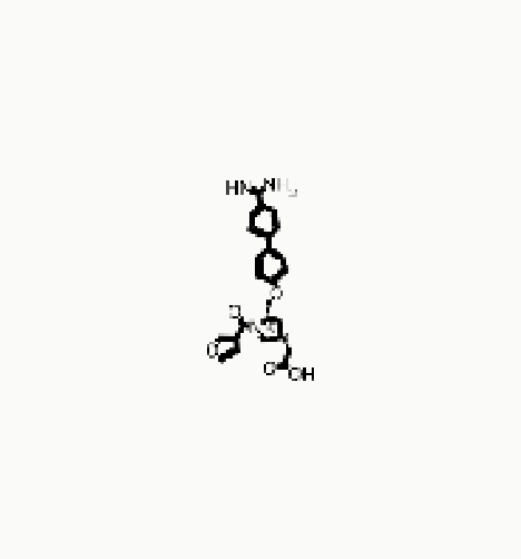 N=C(N)c1ccc(-c2ccc(OC[C@@H]3C[C@@H](CC(=O)O)CN3C(=O)c3ccoc3)cc2)cc1